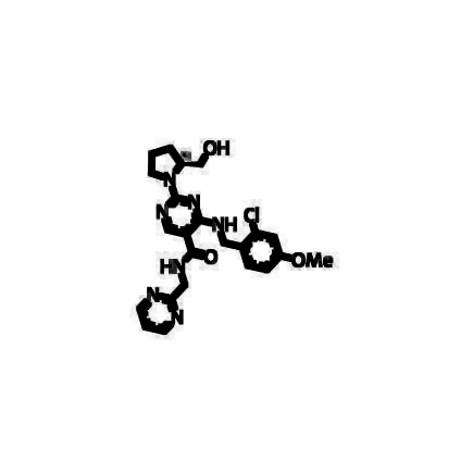 COc1ccc(CNc2nc(N3CCC[C@H]3CO)ncc2C(=O)NCc2ncccn2)c(Cl)c1